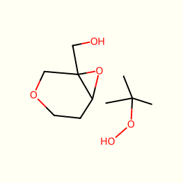 CC(C)(C)OO.OCC12COCCC1O2